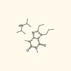 CC(C)NC(C)C.CCCn1c(CC)nc2c1c(=O)n(C)c(=O)n2C